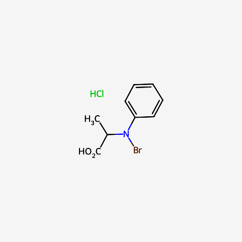 CC(C(=O)O)N(Br)c1ccccc1.Cl